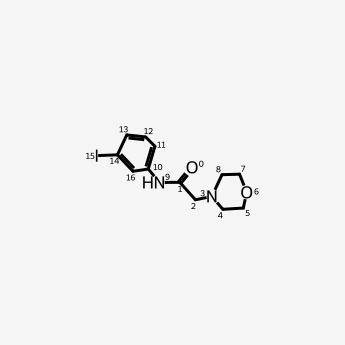 O=C(CN1CCOCC1)Nc1cccc(I)c1